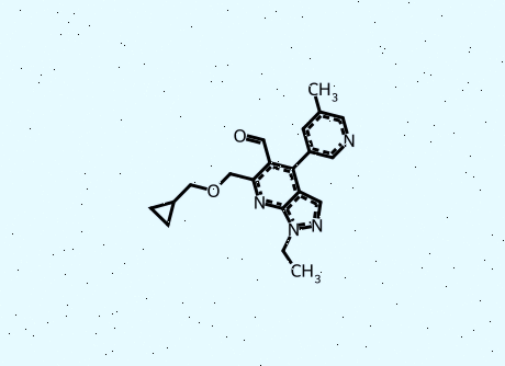 CCn1ncc2c(-c3cncc(C)c3)c(C=O)c(COCC3CC3)nc21